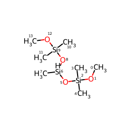 CO[Si](C)(C)O[SiH](C)O[Si](C)(C)OC